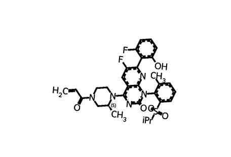 C=CC(=O)N1CCN(c2nc(=O)n(-c3c(C)cccc3S(=O)(=O)C(C)C)c3nc(-c4c(O)cccc4F)c(F)cc23)[C@@H](C)C1